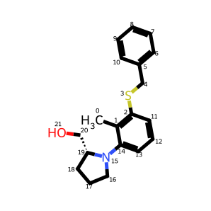 Cc1c(SCc2ccccc2)cccc1N1CCC[C@@H]1CO